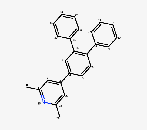 Cc1cc(-c2ccc(-c3ccccc3)c(-c3ccccc3)c2)cc(C)n1